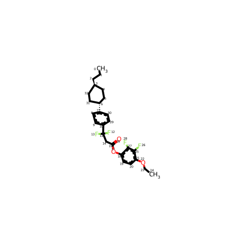 CCC[C@H]1CC[C@H](c2ccc(C(F)(F)CC(=O)Oc3ccc(OCC)c(F)c3F)cc2)CC1